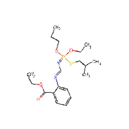 CCCOP(=NC=Nc1ccccc1C(=O)OCC)(OCC)SCC(C)C